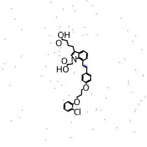 O=C(O)CCCc1cn(CC(=O)O)c2c(/C=C/c3ccc(OCCCOc4ccccc4Cl)cc3)cccc12